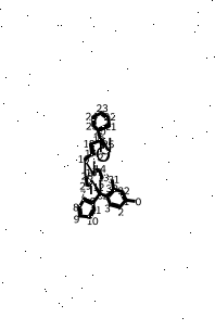 Cc1ccc(C(c2ccccc2)N2CCN(Cc3cc(-c4ccccc4)no3)CC2)c(C)c1